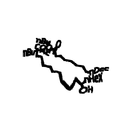 CCCCCCCCCCCCCCCCCC(=O)OCCCC.CCCCCC[C@@H](O)C/C=C\CCCCCCC(CCCC)(C(C)=O)C(=O)O